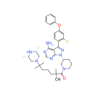 C[C@@H]1CN(C(C)(C)CCCC(C)(C#N)C(=O)N2CCC[C@@H](n3nc(-c4ccc(Oc5ccccc5)cc4F)c4c(N)ncnc43)C2)C[C@H](C)N1